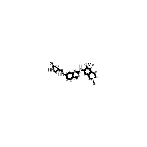 COc1cc2c(cc1Nc1ncc3ccc(NCC4CNC(=O)O4)cc3n1)CN(C)CC2